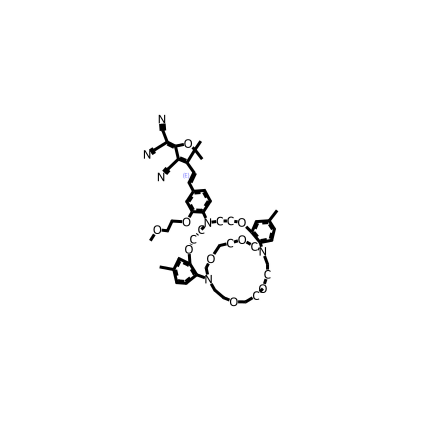 COCCOc1cc(/C=C/C2=C(C#N)C(=C(C#N)C#N)OC2(C)C)ccc1N1CCOc2cc(C)ccc2N2CCOCCOCCN(COCCOC2)c2ccc(C)cc2OCC1